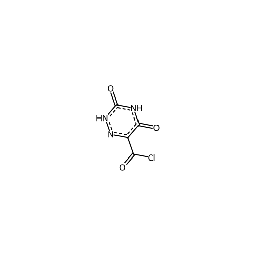 O=C(Cl)c1n[nH]c(=O)[nH]c1=O